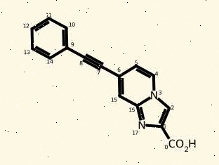 O=C(O)c1cn2ccc(C#Cc3ccccc3)cc2n1